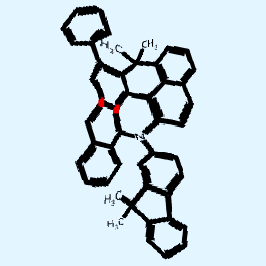 CC1(C)c2ccccc2-c2ccc(N(c3ccc4cccc5c4c3-c3cccc(-c4ccccc4)c3C5(C)C)c3cccc4ccccc34)cc21